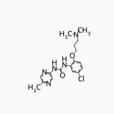 Cc1cnc(NC(=O)Nc2cc(Cl)ccc2OCCCN(C)C)cn1